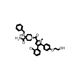 Cn1c(C(=O)N2CCC(NCc3ccccc3)(C(N)=O)CC2)cc(-c2ccccc2Cl)c1-c1ccc(OCCO)cc1